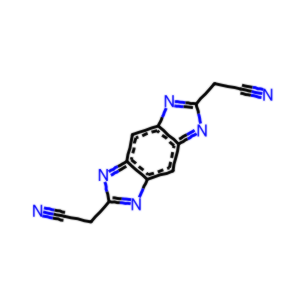 N#CCC1=Nc2cc3c(cc2=N1)N=C(CC#N)N=3